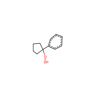 OOC1(c2ccccc2)CCCC1